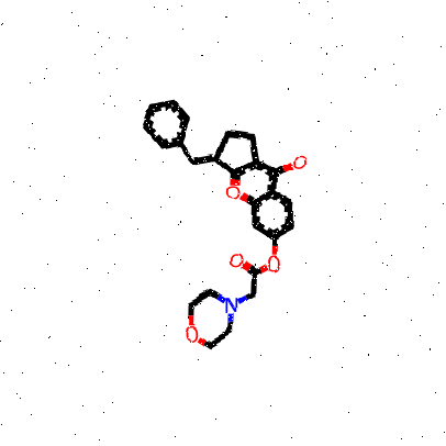 O=C(CN1CCOCC1)Oc1ccc2c(=O)c3c(oc2c1)/C(=C/c1ccccc1)CC3